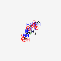 CC[C@@]1(O)C(=O)OCc2c1cc1n(c2=O)Cc2c-1nc1cc(F)c(C)cc1c2CN1CCN(S(=O)(=O)c2ccc(NC(=O)CNC(=O)[C@H](Cc3ccccc3)NC(=O)COC(N)=O)cc2)CC1